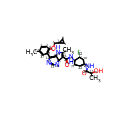 Cc1ccc(OCC2CC2)c(-c2ncnc3c(C(=O)N[C@@H]4CC[C@H](NC(=O)[C@H](C)O)C[C@H]4F)c(C)[nH]c23)c1